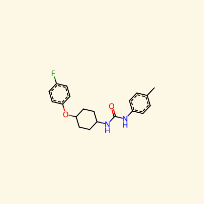 Cc1ccc(NC(=O)NC2CCC(Oc3ccc(F)cc3)CC2)cc1